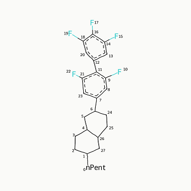 CCCCCC1CCC2CC(c3cc(F)c(-c4cc(F)c(F)c(F)c4)c(F)c3)CCC2C1